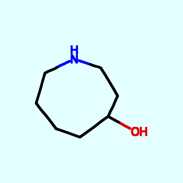 OC1CCCCNCC1